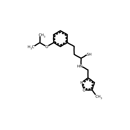 Cc1cc(CNC(S)CCc2cccc(OC(C)C)c2)no1